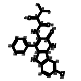 CC(C)C(=O)C(=O)Nc1c(-c2ccccc2)c2[nH]c3ccc(Cl)cc3c2[nH]c1=O